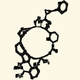 CCO[C@@H]1c2nc(cs2)-c2ccc3c(c2)c(c(-c2cccnc2[C@H](C)OC)n3CC)CC(C)(C)COC(=O)[C@@H]2CCCN(N2)C(=O)[C@H]1NC(=O)[C@H]1C[C@H]1c1ccccn1